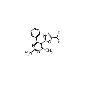 Cc1nc(N)nc(-c2ccccc2)c1-c1nnc(C(F)F)o1